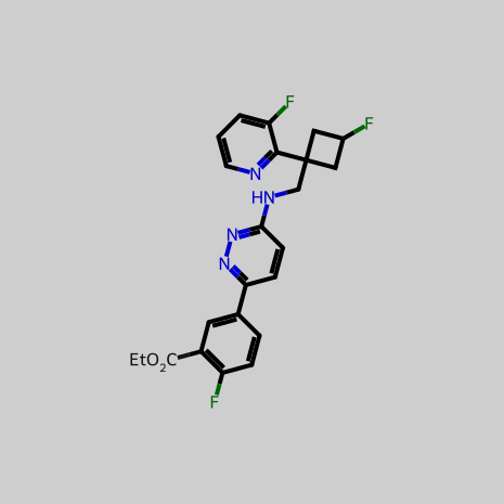 CCOC(=O)c1cc(-c2ccc(NCC3(c4ncccc4F)CC(F)C3)nn2)ccc1F